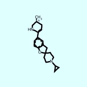 C[C@H]1CC=C(c2ccc3c(c2)CC2(CCN(C4CC4)CC2)O3)NC1